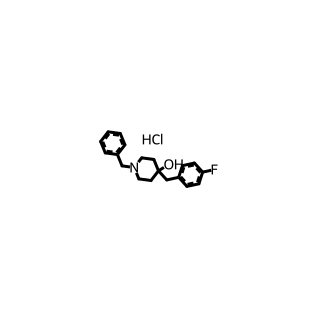 Cl.OC1(Cc2ccc(F)cc2)CCN(Cc2ccccc2)CC1